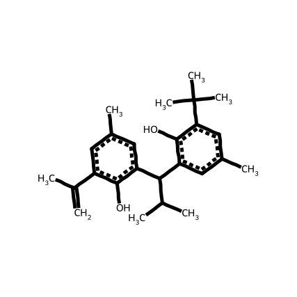 C=C(C)c1cc(C)cc(C(c2cc(C)cc(C(C)(C)C)c2O)C(C)C)c1O